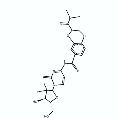 C=C1N=C(NC(=O)c2ccc3c(c2)OC(C(=O)N(C)C)CO3)C=CN1C1O[C@H](CO)[C@@H](O)C1(F)F